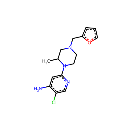 CC1CN(Cc2ccco2)CCN1c1cc(N)c(Cl)cn1